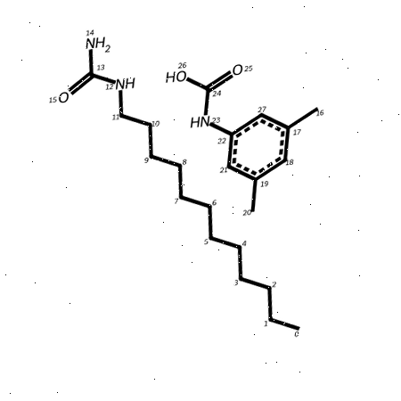 CCCCCCCCCCCCNC(N)=O.Cc1cc(C)cc(NC(=O)O)c1